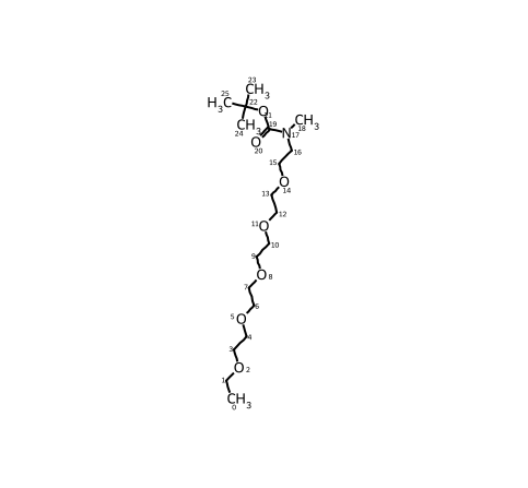 CCOCCOCCOCCOCCOCCN(C)C(=O)OC(C)(C)C